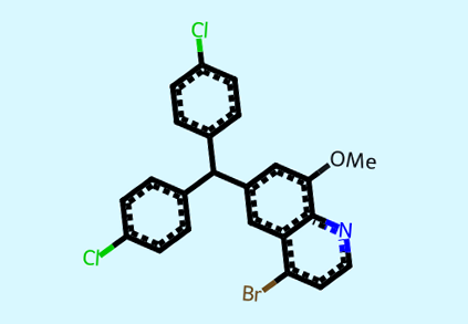 COc1cc(C(c2ccc(Cl)cc2)c2ccc(Cl)cc2)cc2c(Br)ccnc12